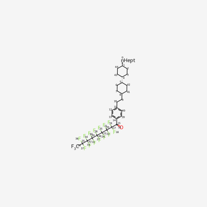 CCCCCCC[C@H]1CC[C@H](C2CCC(CCc3ccc(C(=O)C(F)(F)C(F)(F)C(F)(F)C(F)(F)C(F)(F)C(F)(F)C(F)(F)C(F)(F)F)cc3)CC2)CC1